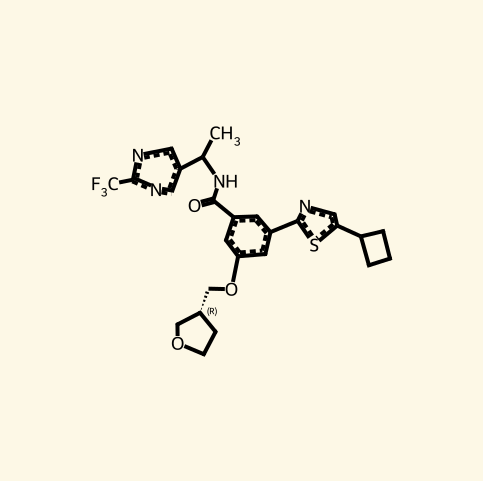 CC(NC(=O)c1cc(OC[C@@H]2CCOC2)cc(-c2ncc(C3CCC3)s2)c1)c1cnc(C(F)(F)F)nc1